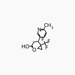 Cc1ccc(C(CC(=O)O)C2(C(F)(F)F)CC2)cn1